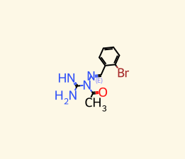 CC(=O)N(/N=C/c1ccccc1Br)C(=N)N